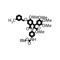 COC(=O)c1c(-c2cc(OC)c(OC)c(OC)c2)c2cc(OC)c(OCc3cccc(C)c3)cc2c(=O)n1-c1ccc(NC(=O)OC(C)(C)C)cc1